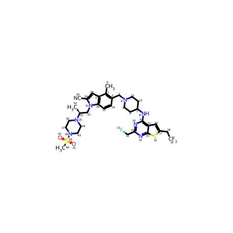 Cc1c(CN2CCC(Nc3nc(CF)nc4sc(CC(F)(F)F)cc34)CC2)ccc2c1cc(C#N)n2C[C@H](C)N1CCN(S(C)(=O)=O)CC1